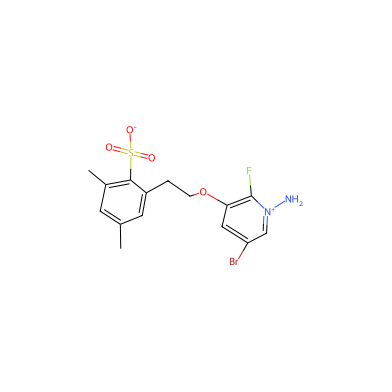 Cc1cc(C)c(S(=O)(=O)[O-])c(CCOc2cc(Br)c[n+](N)c2F)c1